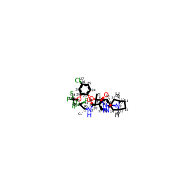 C[C@@H](NC(=O)c1ccc(N2[C@@H]3CC[C@H]2C[C@@H](NC(=O)C(C)(C)Oc2ccc(Cl)cc2OC(F)(F)F)C3)nc1)C(F)(F)F